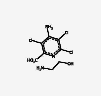 NCCO.Nc1c(Cl)c(Cl)nc(C(=O)O)c1Cl